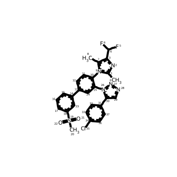 Cc1nc(C(F)F)c(C)n1-c1ccc(-c2cccc(S(C)(=O)=O)c2)cc1-n1nncc1-c1ccc(Cl)cc1